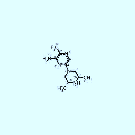 C[C@@H]1CN(c2cnc(C(F)(F)F)c(N)n2)C[C@@H](C)N1